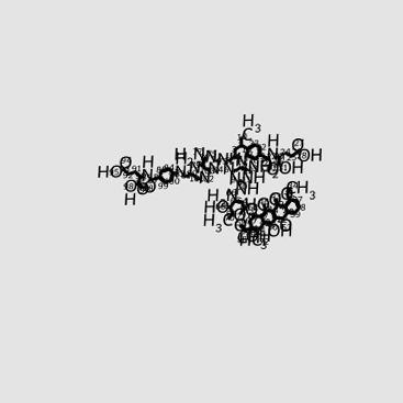 CCC(Cc1cnc2nc(=N)[nH]c(N)c2n1)c1ccc(C(=O)N[C@@H](CCC(=O)O)C(=O)O)cc1.COc1cccc2c1C(=O)c1c(O)c3c(c(O)c1C2=O)C[C@@](O)(C(C)=O)C[C@@H]3OC1CC(N)C(O)C(C)O1.Cl.Nc1nc(N)c2nc(CNc3ccc(C(=O)NC(CCC(=O)O)C(=O)O)cc3)cnc2n1